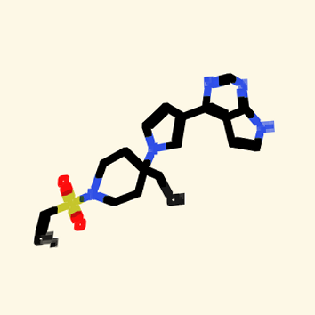 C=CS(=O)(=O)N1CCC(CC#N)(n2ccc(-c3ncnc4[nH]ccc34)c2)CC1